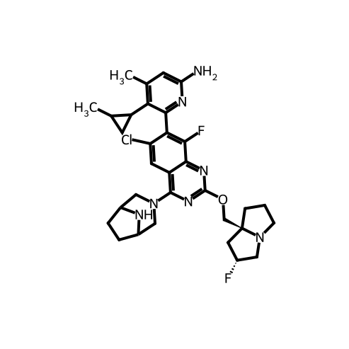 Cc1cc(N)nc(-c2c(Cl)cc3c(N4CC5CCC(C4)N5)nc(OC[C@@]45CCCN4C[C@H](F)C5)nc3c2F)c1C1CC1C